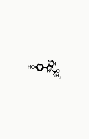 NC(=O)n1nc(-c2ccc(O)cc2)c2s[c]nc21